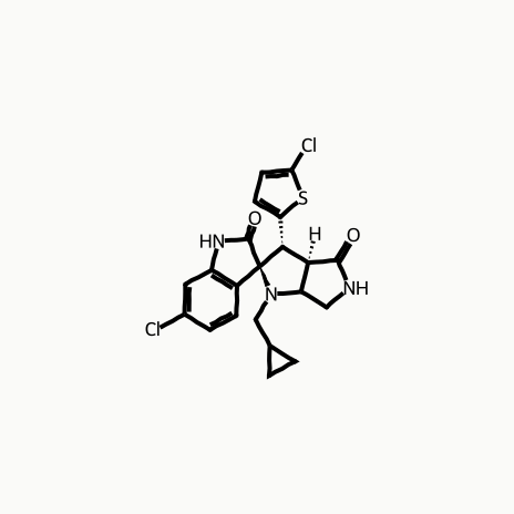 O=C1NCC2[C@H]1[C@@H](c1ccc(Cl)s1)[C@]1(C(=O)Nc3cc(Cl)ccc31)N2CC1CC1